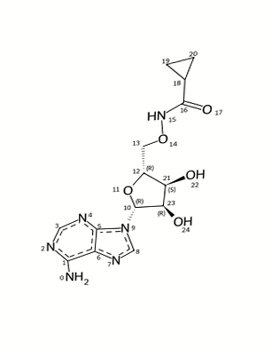 Nc1ncnc2c1ncn2[C@@H]1O[C@H](CONC(=O)C2CC2)[C@@H](O)[C@H]1O